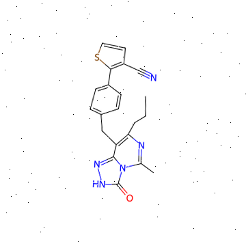 CCCc1nc(C)n2c(=O)[nH]nc2c1Cc1ccc(-c2sccc2C#N)cc1